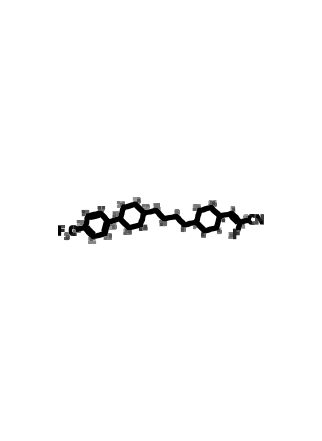 N#CC(F)=CC1CCC(CCCCC2CCC(c3ccc(C(F)(F)F)cc3)CC2)CC1